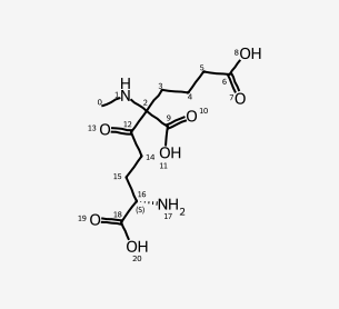 CNC(CCCC(=O)O)(C(=O)O)C(=O)CC[C@H](N)C(=O)O